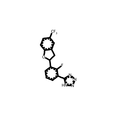 Fc1c(-c2nnn[nH]2)cccc1C1Cc2cc(C(F)(F)F)ccc2O1